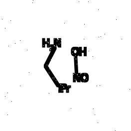 CC(C)CN.O=NO